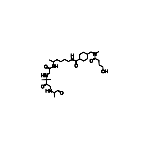 CC(C=O)NCC(=O)C(C)(C)NCC(=O)NC(C)CCCCNC(=O)C1CCC(CN(C)C(=O)CCCO)CC1